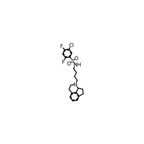 O=S(=O)(NCCCCN1CCc2cccc3c2C1CC3)c1cc(Cl)c(F)cc1F